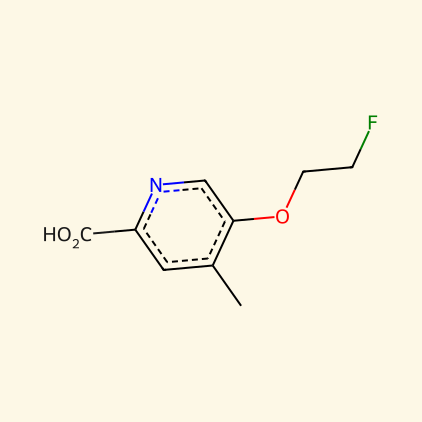 Cc1cc(C(=O)O)ncc1OCCF